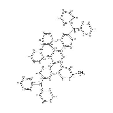 Cc1cccc(-c2cc(-c3ccc(N(c4ccccc4)c4ccccc4)cc3)c3c4ccccc4c4ccccc4c3c2-c2ccc(N(c3ccccc3)c3ccccc3)cc2)c1